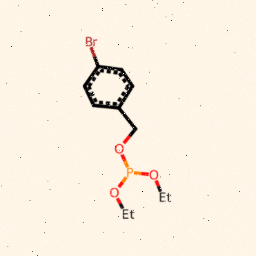 CCOP(OCC)OCc1ccc(Br)cc1